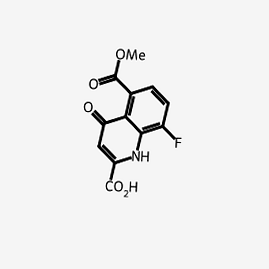 COC(=O)c1ccc(F)c2[nH]c(C(=O)O)cc(=O)c12